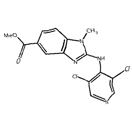 COC(=O)c1ccc2c(c1)nc(Nc1c(Cl)cncc1Cl)n2C